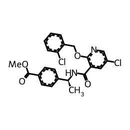 COC(=O)c1ccc([C@H](C)NC(=O)c2cc(Cl)cnc2OCc2ccccc2Cl)cc1